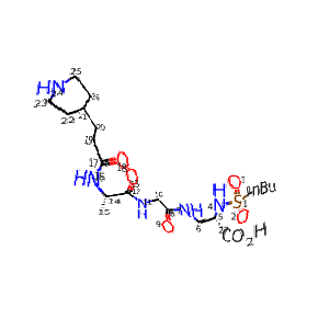 CCCCS(=O)(=O)N[C@@H](CNC(=O)CNC(=O)[C@H](C)NC(=O)CCC1CCNCC1)C(=O)O